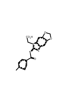 Cc1ccc(C(=O)/N=c2\sc3cc4c(cc3n2CC(=O)O)OCO4)cc1